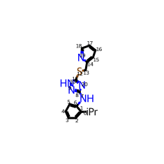 CC(C)c1ccccc1Nc1n[nH]c(SCc2ccccn2)n1